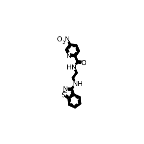 O=C(NCCNc1nsc2ccccc12)c1ccc([N+](=O)[O-])cn1